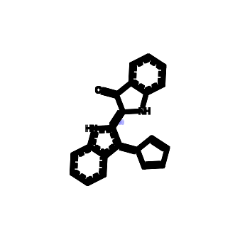 O=C1/C(=c2\[nH]c3ccccc3c2=C2C=CC=C2)Nc2ccccc21